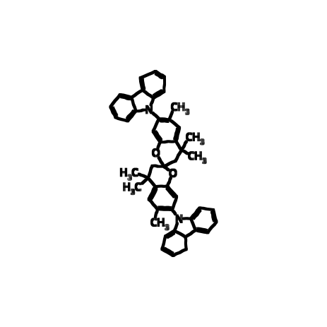 Cc1cc2c(cc1N1C3=CC=CCC3c3ccccc31)OC1(CC2(C)C)CC(C)(C)c2cc(C)c(-n3c4ccccc4c4ccccc43)cc2O1